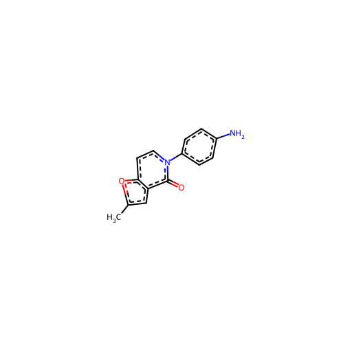 Cc1cc2c(=O)n(-c3ccc(N)cc3)ccc2o1